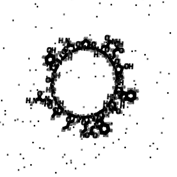 CCCC[C@H]1C(=O)N(C)[C@@H](CCCC)C(=O)N[C@@H](CC(C)C)C(=O)N[C@H](C(=O)NCC(N)=O)CNCC(=O)N[C@@H](Cc2ccc(O)cc2)C(O)N(C)[C@@H](C)C(=O)N[C@@H](CC(N)=O)C(=O)N2CCC[C@H]2C(=O)N[C@@H](CCC(N)=O)C(=O)N[C@@H](CCC(=O)O)C(=O)N2C[C@H](O)C[C@H]2C(=O)N[C@@H](Cc2c[nH]c3ccccc23)C(=O)N[C@@H](CC(N)=O)C(=O)N[C@@H](Cc2cn(CC(=O)O)c3ccccc23)C(=O)N1C